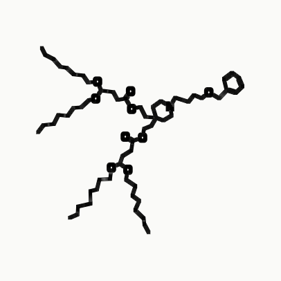 CCCCCCCCOC(CCC(=O)OCCC1(CCOC(=O)CCC(OCCCCCCCC)OCCCCCCCC)CCN(CCCCOCc2ccccc2)CC1)OCCCCCCCC